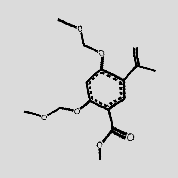 C=C(C)c1cc(C(=O)OC)c(OCOC)cc1OCOC